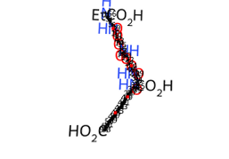 CCN[C@@H](CCCCNC(=O)COCCOCCNC(=O)COCCOCCNC(=O)CC[C@H](NC(=O)CCCCCCCCCCCCCCCCCCC(=O)O)C(=O)O)C(=O)O